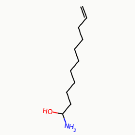 C=CCCCCCCCCC(N)O